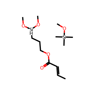 CC=CC(=O)OCCC[SiH](OC)OC.CO[Si](C)(C)C